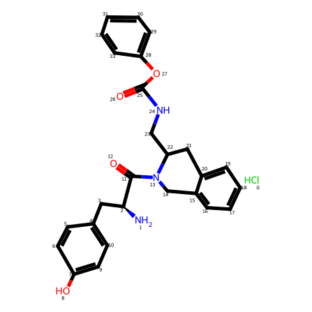 Cl.N[C@@H](Cc1ccc(O)cc1)C(=O)N1Cc2ccccc2CC1CNC(=O)Oc1ccccc1